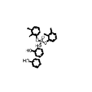 Cc1cccc(OP(=O)(O)Oc2cccc(C)c2C)c1C.Oc1ccccc1.Oc1ccccc1